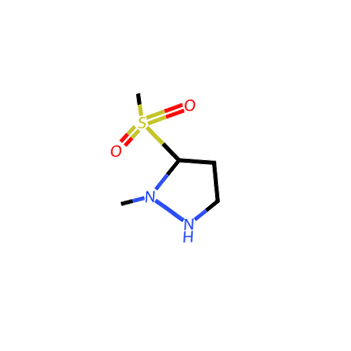 CN1NCCC1S(C)(=O)=O